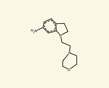 Nc1ccc2c(c1)N(CCN1CCOCC1)CC2